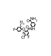 Cc1cc(F)ccc1Oc1nc(Cl)c(F)cc1C(=O)Nc1cccc(C(N)=O)c1